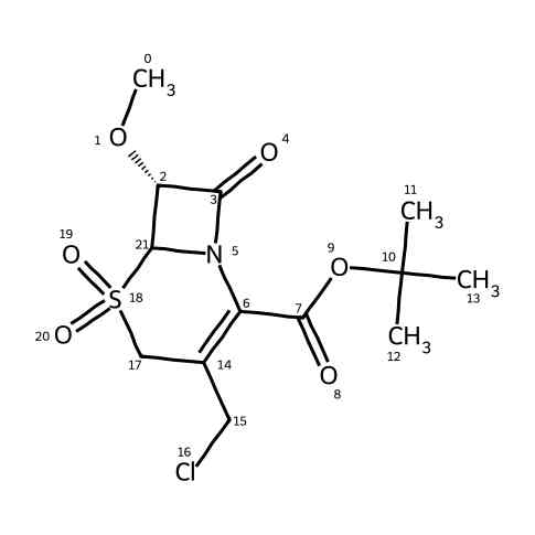 CO[C@@H]1C(=O)N2C(C(=O)OC(C)(C)C)=C(CCl)CS(=O)(=O)C12